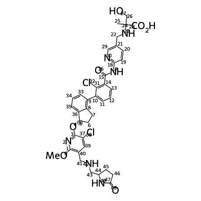 COc1nc(O[C@H]2CCc3c(-c4cccc(C(=O)Nc5ccc(CNC(C)(CO)C(=O)O)cn5)c4Cl)cccc32)c(Cl)cc1CNCC1CCC(=O)N1